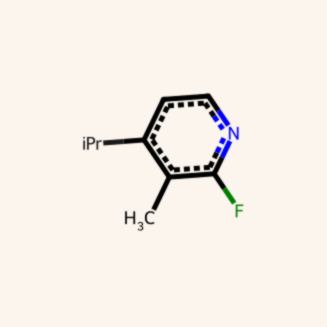 Cc1c(C(C)C)ccnc1F